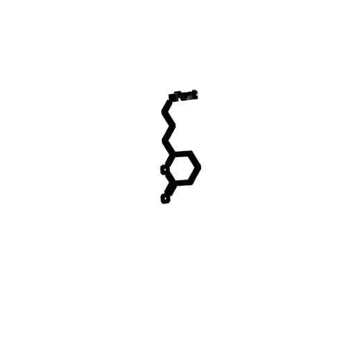 CCCCCCCCC1CCCC(=O)O1